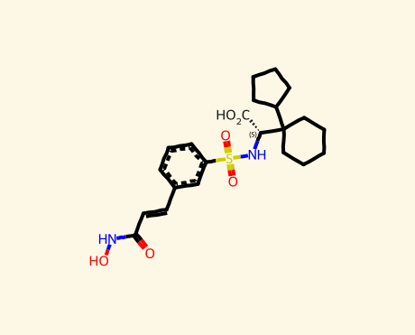 O=C(C=Cc1cccc(S(=O)(=O)N[C@H](C(=O)O)C2(C3CCCC3)CCCCC2)c1)NO